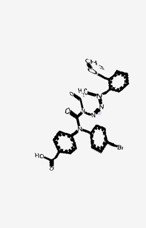 COc1ccccc1N(C)/N=N\N(C=O)C(=O)N(c1ccc(Br)cc1)c1ccc(C(=O)O)cc1